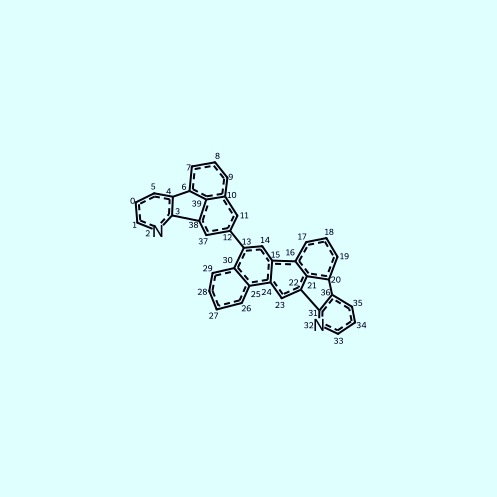 c1cnc2c(c1)-c1cccc3cc(-c4cc5c6cccc7c6c(cc5c5ccccc45)-c4ncccc4-7)cc-2c13